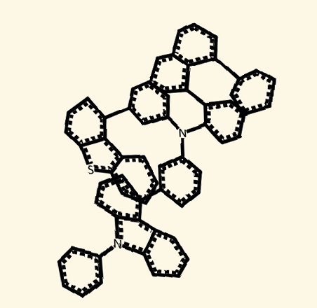 c1ccc(-c2cccc3cccc(-c4ccccc4N(c4cccc(-c5cccc6sc7ccccc7c56)c4)c4cccc(-c5cccc6c5c5ccccc5n6-c5ccccc5)c4)c23)cc1